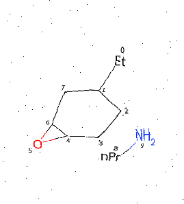 [CH2]CC1CCC2OC2C1.[CH2]CCN